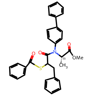 COC(=O)[C@H](C)N(C(=O)C(Cc1ccccc1)SC(=O)c1ccccc1)c1ccc(-c2ccccc2)cc1